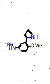 COc1ccc(NC(C)(C)C)cc1-c1ccc[nH]1